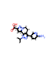 CC(C)n1nc(-c2ccc(N)nc2)c2c1-c1cc(C(=O)O)nn1CC2